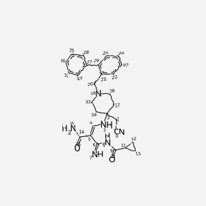 N#CCC1(N/C=C(\C(=N)NC(=O)C2CC2)C(N)=O)CCN(Cc2ccccc2-c2ccccc2)CC1